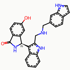 O=C1N[C@H](c2c(CNCc3ccc4cc[nH]c4c3)[nH]c3ccccc23)c2cc(O)ccc21